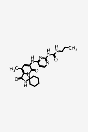 CCCNC(=O)Nc1nccc(Nc2cc(C)c3n(c2=O)C2(CCCCC2)NC3=O)n1